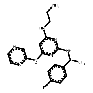 C[C@H](Nc1nc(NCCN)cc(Nc2cnccn2)n1)c1ccc(F)cc1